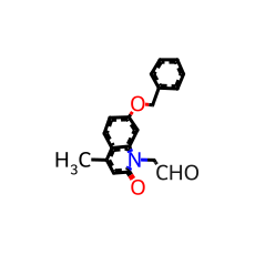 Cc1cc(=O)n(CC=O)c2cc(OCc3ccccc3)ccc12